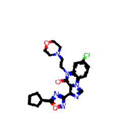 O=c1c2c(-c3noc(C4CCCC4)n3)ncn2c2ccc(Cl)cc2n1CCN1CCOCC1